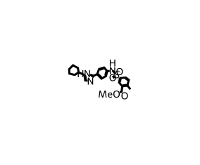 COC(=O)c1cc(S(=O)(=O)Nc2ccc(-c3ncc(C4CCCCC4)[nH]3)cc2)ccc1C